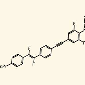 CCCc1ccc(C(F)=C(F)c2ccc(C#Cc3cc(F)c(N=C=S)c(F)c3)cc2)cc1